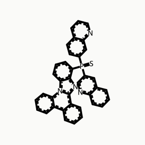 S=P(c1cnc2ccccc2c1)(c1ccc2cccnc2c1)c1cccc2c1nc1c3ccccc3c3ccccc3n21